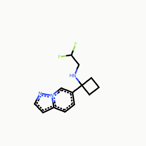 FC(F)CNC1(c2ccc3ccnn3c2)CCC1